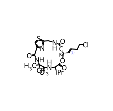 CC(C)C1NC(=O)C(C)(C)NC(=O)c2csc(n2)CNC(=O)C[C@@H](/C=C/CCCl)OC1=O